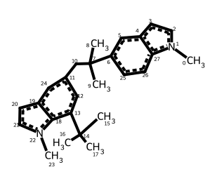 Cn1ccc2cc(C(C)(C)Cc3cc(C(C)(C)C)c4c(ccn4C)c3)ccc21